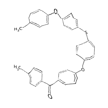 Cc1ccc(Oc2ccc(Sc3ccc(Oc4ccc(C(=O)c5ccc(C)cc5)cc4)cc3)cc2)cc1